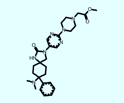 COC(=O)CN1CCN(c2ncc(N3CC4(CCC(c5ccccc5)(N(C)C)CC4)NC3=O)cn2)CC1